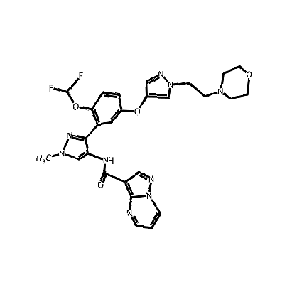 Cn1cc(NC(=O)c2cnn3cccnc23)c(-c2cc(Oc3cnn(CCN4CCOCC4)c3)ccc2OC(F)F)n1